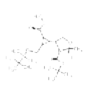 COC(=O)C1C(CO[Si](C)(C)C(C)(C)C)C1[C@@H]1COC(C)(C)N1C(=O)OC(C)(C)C